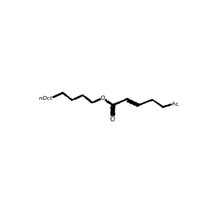 CCCCCCCCCCCCOC(=O)/C=C/CCC(C)=O